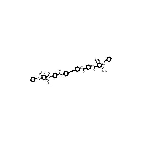 COc1cc(C(=O)Oc2ccc(C(=O)Oc3ccc(C#Cc4ccc(OC(=O)c5ccc(OC(=O)c6cc(OC)c(OCc7ccccc7)cc6OC)cc5)cc4)cc3)cc2)c(OC)cc1COc1ccccc1